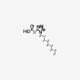 CCCCCCCCCn1nnnc1CC(=O)O